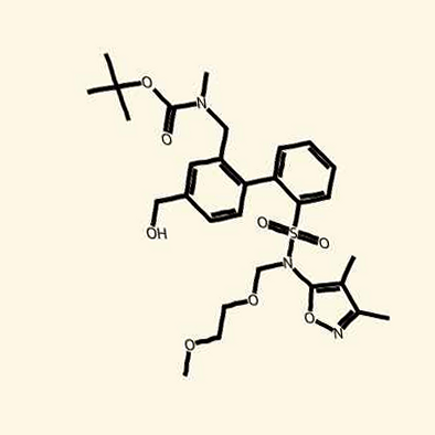 COCCOCN(c1onc(C)c1C)S(=O)(=O)c1ccccc1-c1ccc(CO)cc1CN(C)C(=O)OC(C)(C)C